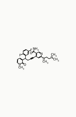 CN(C)CCN(C)c1cc(C#CCC(c2cc(F)ccc2F)c2cccn(C)c2=O)c(C(N)=O)cn1